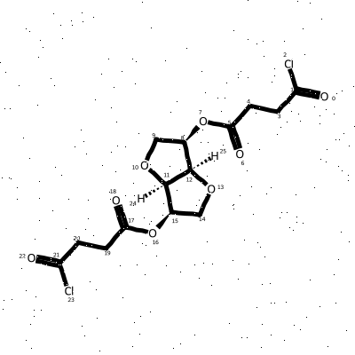 O=C(Cl)CCC(=O)O[C@@H]1CO[C@H]2[C@@H]1OC[C@H]2OC(=O)CCC(=O)Cl